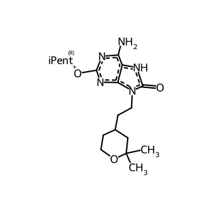 CCC[C@@H](C)Oc1nc(N)c2[nH]c(=O)n(CCC3CCOC(C)(C)C3)c2n1